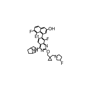 CCc1c(F)ccc2cc(O)cc(-c3ccc4c(N5CC6CCC(C5)N6)nc(OCC5(CN6CC[C@@H](F)C6)CC5)nc4c3F)c12